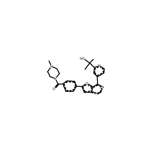 CN1CCN(C(=O)c2ccc(-c3cc4ncnc(-c5ccnc(C(C)(C)O)c5)c4o3)cc2)CC1